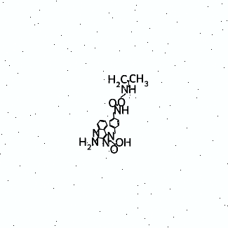 C=C(C)CNCCOC(=O)NCc1ccc(Cn2c(C(=O)O)nc3c(N)nc4ccccc4c32)cc1